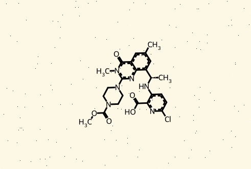 COC(=O)N1CCN(c2nc3c([C@@H](C)Nc4ccc(Cl)nc4C(=O)O)cc(C)cc3c(=O)n2C)CC1